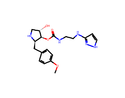 COc1ccc(C[C@H]2NC[C@H](O)[C@H]2OC(=O)NCCNc2cc[nH]n2)cc1